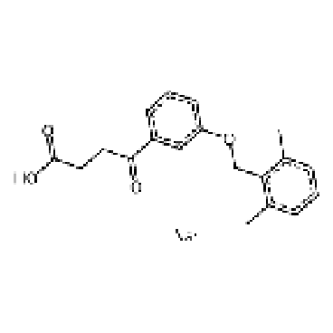 Cc1cccc(C)c1COc1cccc(C(=O)CCC(=O)O)c1.[Na]